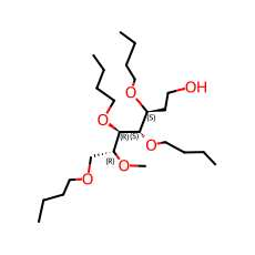 CCCCOC[C@@H](OC)[C@@H](OCCCC)[C@@H](OCCCC)[C@H](CCO)OCCCC